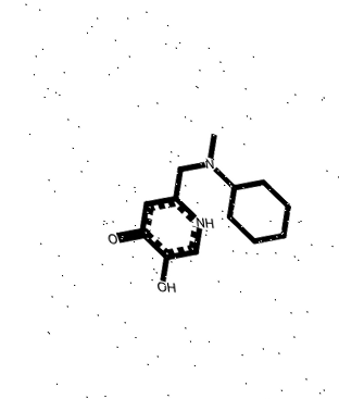 CN(Cc1cc(=O)c(O)c[nH]1)C1CCCCC1